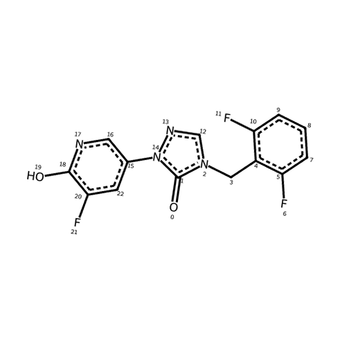 O=c1n(Cc2c(F)cccc2F)cnn1-c1cnc(O)c(F)c1